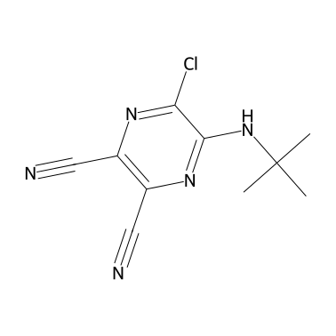 CC(C)(C)Nc1nc(C#N)c(C#N)nc1Cl